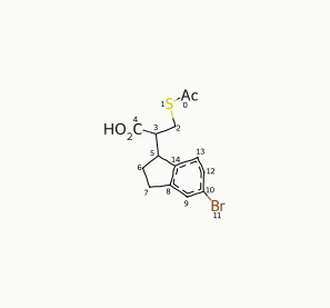 CC(=O)SCC(C(=O)O)C1CCc2cc(Br)ccc21